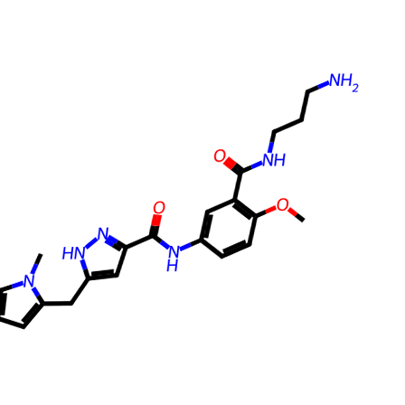 COc1ccc(NC(=O)c2cc(Cc3cccn3C)[nH]n2)cc1C(=O)NCCCN